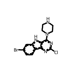 Clc1nc(N2CCNCC2)c2[nH]c3cc(Br)ccc3c2n1